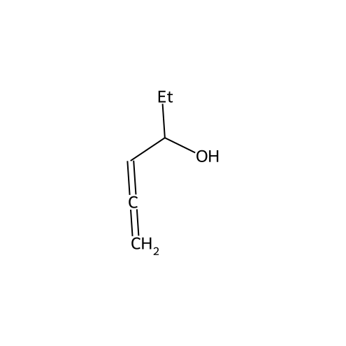 C=C=CC(O)CC